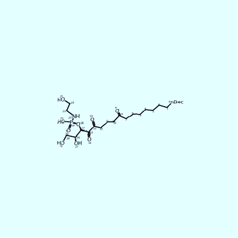 CCCCCCCCCCCCCCCCCC(=O)CCCC(=O)C(=O)C(OP(=O)(O)NCCO)[C@@H](O)CO